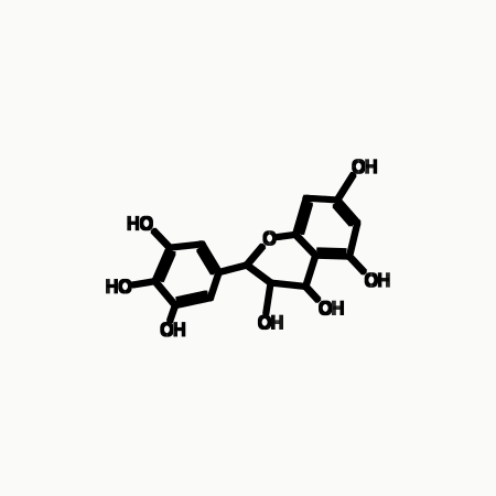 Oc1cc(O)c2c(c1)OC(c1cc(O)c(O)c(O)c1)C(O)C2O